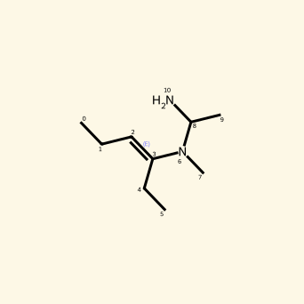 CC/C=C(\CC)N(C)C(C)N